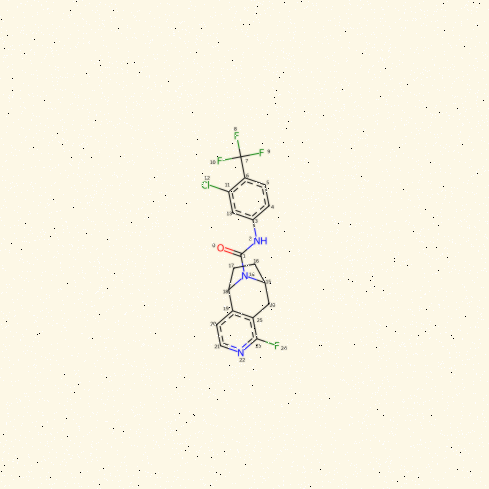 O=C(Nc1ccc(C(F)(F)F)c(Cl)c1)N1C2CCC1c1ccnc(F)c1C2